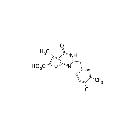 Cc1c(C(=O)O)sc2nc(Cc3ccc(Cl)c(C(F)(F)F)c3)[nH]c(=O)c12